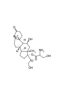 C[C@]12CCC(=O)C=C1CC[C@@H]1[C@@H]2[C@@H](O)C[C@@]2(C)[C@H]1CC[C@]2(OC(=O)C(N)CO)C(=O)CO